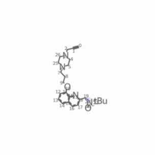 C#CCN1CCN(CCCOc2cccc3ccc(/C=[N+](\[O-])C(C)(C)C)nc23)CC1